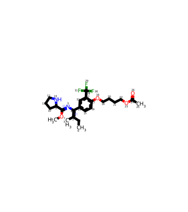 CC/C(C)=C(/N=C(\OC)C1CCCN1)c1ccc(OCCCCOC(C)=O)c(C(F)(F)F)c1